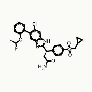 NC(=O)C[C@H](c1ccc(S(=O)(=O)CC2CC2)cc1)c1nc2cc(-c3ccccc3OC(F)F)c(Cl)cc2[nH]1